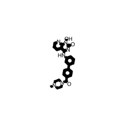 CN1CCN(C(=O)c2ccc(-c3cccc(Nc4nc(=O)n(O)c5ncccc45)c3)cc2)CC1